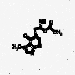 Cn1cnc2ncn(CC(=N)OC(N)=O)c(=O)c21